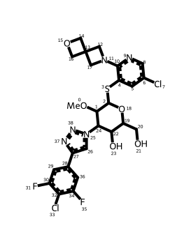 COC1C(Sc2cc(Cl)cnc2N2CC3(COC3)C2)OC(CO)C(O)C1n1cc(-c2cc(F)c(Cl)c(F)c2)nn1